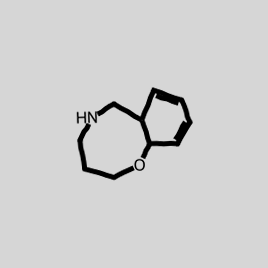 C1=CC2CNCCCOC2C=C1